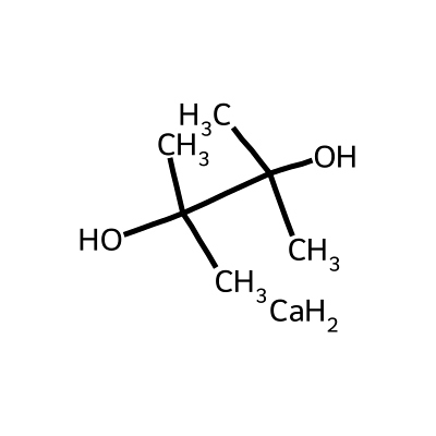 CC(C)(O)C(C)(C)O.[CaH2]